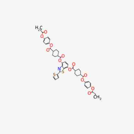 C=CC(=O)Oc1ccc(OC(=O)C2CCC(C(=O)Oc3ccc(OC(=O)C4CCC(C(=O)Oc5ccc(OC(=O)C=C)cc5)CC4)c4sc(-c5cccs5)nc34)CC2)cc1